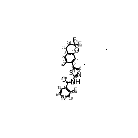 Cc1cc2c(cc1-c1cnc(NC(=O)c3ccncc3F)s1)OC(F)(F)CC2